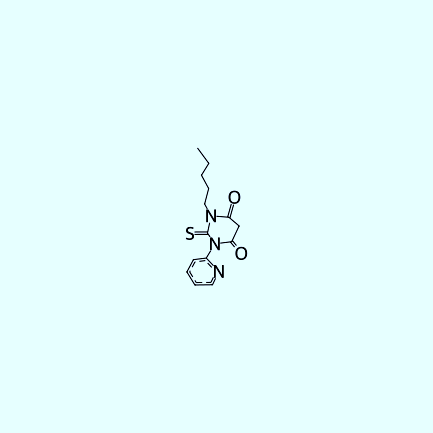 CCCCCN1C(=O)CC(=O)N(c2ccccn2)C1=S